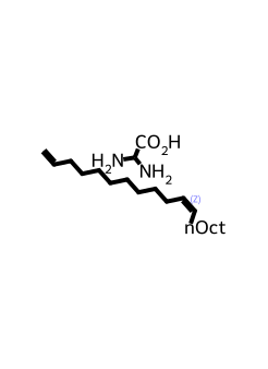 C=CCCCCCCCC/C=C\CCCCCCCC.NC(N)C(=O)O